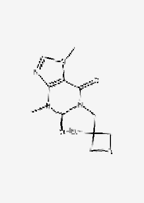 CCC1(CN2C(=O)c3c(ncn3C)N(C)C2O)COC1